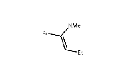 CC/C=C(/Br)NC